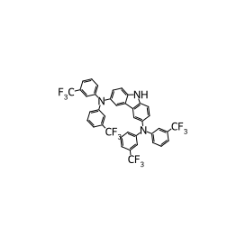 FC(F)(F)c1cccc(N(c2cccc(C(F)(F)F)c2)c2ccc3[nH]c4ccc(N(c5cccc(C(F)(F)F)c5)c5cccc(C(F)(F)F)c5)cc4c3c2)c1